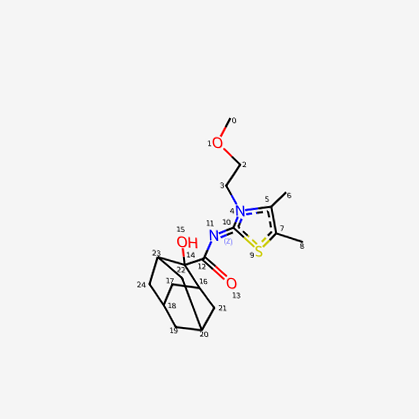 COCCn1c(C)c(C)s/c1=N\C(=O)C1(O)C2CC3CC(C2)CC1C3